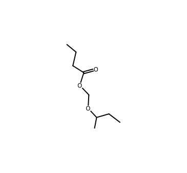 CCCC(=O)OCOC(C)CC